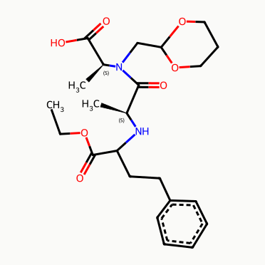 CCOC(=O)C(CCc1ccccc1)N[C@@H](C)C(=O)N(CC1OCCCO1)[C@@H](C)C(=O)O